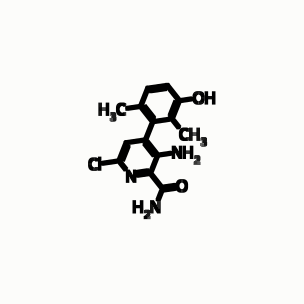 Cc1ccc(O)c(C)c1-c1cc(Cl)nc(C(N)=O)c1N